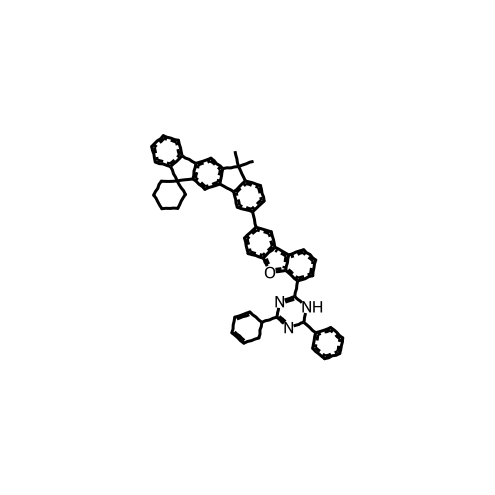 CC1(C)c2ccc(-c3ccc4oc5c(C6=NC(C7C=CC=CC7)=NC(c7ccccc7)N6)cccc5c4c3)cc2-c2cc3c(cc21)-c1ccccc1C31CCCCC1